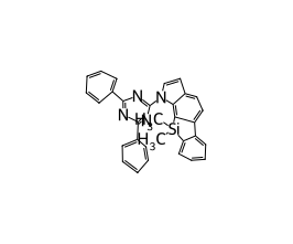 C[Si]1(C)c2ccccc2-c2ccc3ccn(-c4nc(-c5ccccc5)nc(-c5ccccc5)n4)c3c21